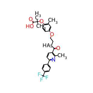 Cc1cc(OCC[AsH]C(=O)c2ccc(-c3ccc(C(F)(F)F)cc3)nc2C)ccc1OC(C)(C)C(=O)O